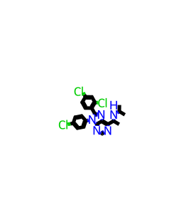 CC(C)NC(C)c1ncnc2c1nc(-c1ccc(Cl)cc1Cl)n2-c1ccc(Cl)cc1